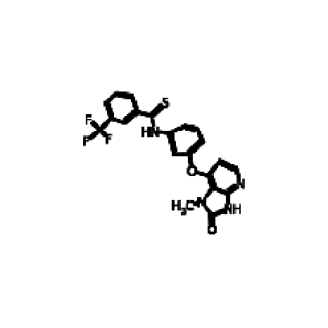 Cn1c(=O)[nH]c2nccc(Oc3cccc(NC(=S)c4cccc(C(F)(F)F)c4)c3)c21